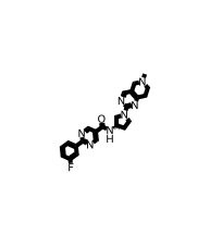 CN1CCc2nc(N3CC[C@@H](NC(=O)c4cnc(-c5cccc(F)c5)nc4)C3)ncc2C1